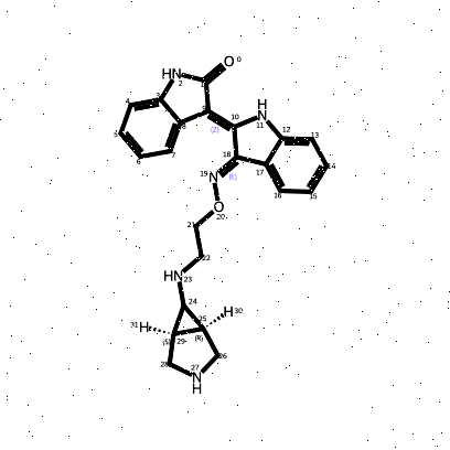 O=C1Nc2ccccc2/C1=C1/Nc2ccccc2/C1=N\OCCNC1[C@H]2CNC[C@@H]12